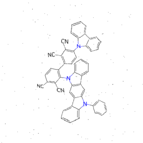 N#Cc1ccc(-c2ccc(-n3c4ccccc4c4ccccc43)c(C#N)c2C#N)c(-n2c3ccccc3c3cc4c(cc32)c2ccccc2n4-c2ccccc2)c1C#N